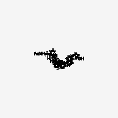 CC(=O)NCCNC1CCCn2nc(C(=O)Nc3cccc(-c4cccc(Nc5nccc6cc(CN7CC[C@@H](O)C7)cnc56)c4C)c3C)cc21